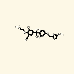 CCCOc1c(Cl)cc(C(C)(C)c2ccc(OCc3nc(N)cs3)cc2)cc1C#N